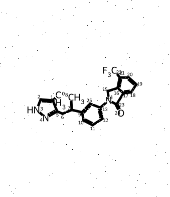 Cc1c[nH]nc1CC(C)c1cccc(N2Cc3c(cccc3C(F)(F)F)C2=O)c1